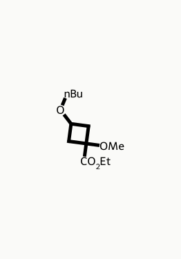 CCCCOC1CC(OC)(C(=O)OCC)C1